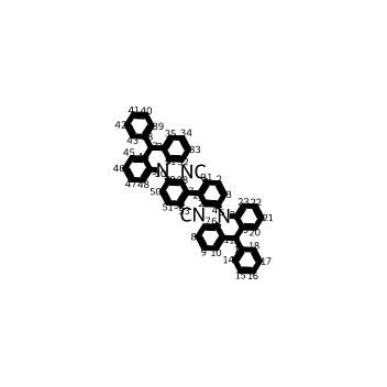 N#Cc1ccc(N2c3ccccc3C(c3ccccc3)c3ccccc32)cc1-c1cc(N2c3ccccc3C(c3ccccc3)c3ccccc32)ccc1C#N